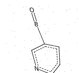 O=Bc1cccnc1